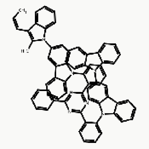 C/C=C\c1c(C)n(-c2ccc3c(c2)c2ccccc2n3-c2ccccc2-c2nc(-c3ccccc3)nc(-c3ccccc3-n3c4ccccc4c4cc(-n5c6ccccc6c6ccccc65)ccc43)n2)c2ccccc12